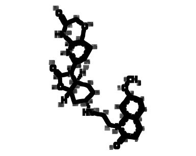 COc1ccc2ccc(=O)n(CCN[C@H]3CC[C@H]4[C@H](C3)OC(=O)N4c3ccc4c(n3)NC(=O)CO4)c2c1